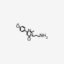 COc1ccc(-c2cc(=O)n(CCCN)c(C)n2)cc1